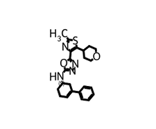 Cc1nc(-c2nnc(N[C@H]3CCC=C(c4ccccc4)C3)o2)c(C2CCOCC2)s1